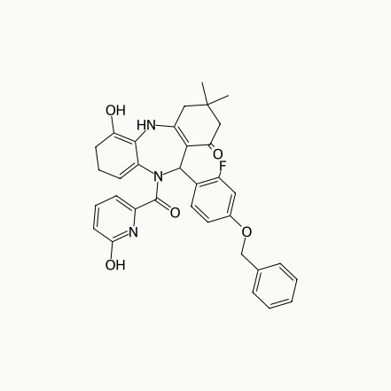 CC1(C)CC(=O)C2=C(C1)NC1=C(O)CCC=C1N(C(=O)c1cccc(O)n1)C2c1ccc(OCc2ccccc2)cc1F